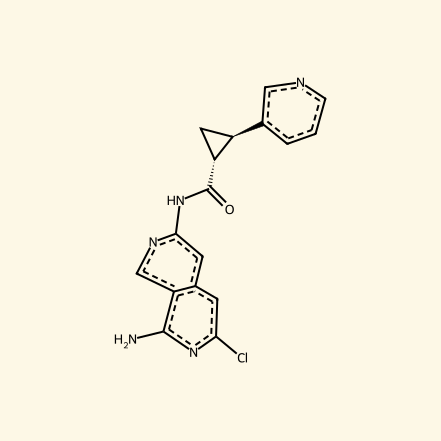 Nc1nc(Cl)cc2cc(NC(=O)[C@@H]3C[C@H]3c3cccnc3)ncc12